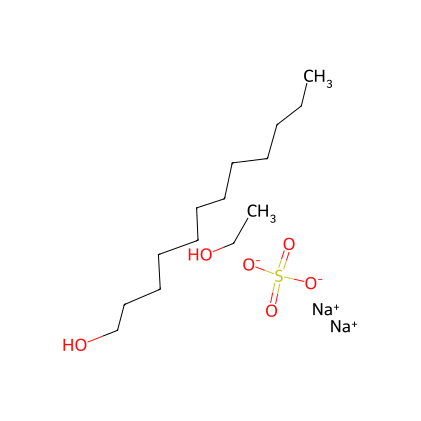 CCCCCCCCCCCCO.CCO.O=S(=O)([O-])[O-].[Na+].[Na+]